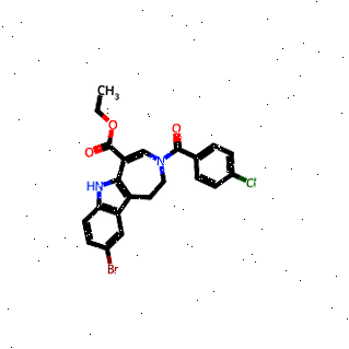 CCOC(=O)C1=CN(C(=O)c2ccc(Cl)cc2)CCc2c1[nH]c1ccc(Br)cc21